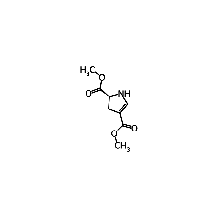 COC(=O)C1=CN[C@H](C(=O)OC)C1